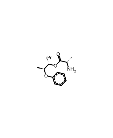 CC(C)[C@H](OC(=O)[C@H](C)N)[C@H](C)Oc1ccccc1